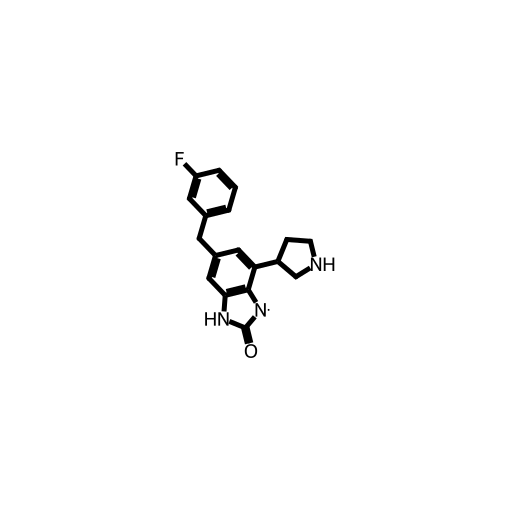 O=C1[N]c2c(cc(Cc3cccc(F)c3)cc2C2CCNC2)N1